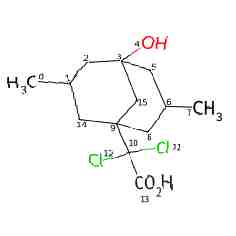 CC1CC2(O)CC(C)CC(C(Cl)(Cl)C(=O)O)(C1)C2